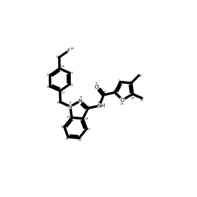 Cc1cc(C(=O)Nc2nn(Cc3ccc(CF)cc3)c3ccccc23)oc1C